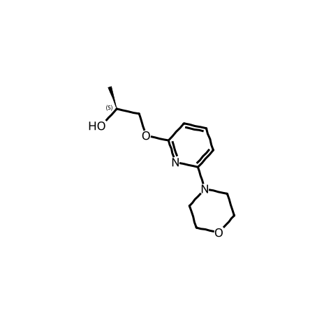 C[C@H](O)COc1cccc(N2CCOCC2)n1